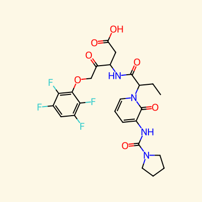 CCC(C(=O)NC(CC(=O)O)C(=O)COc1c(F)c(F)cc(F)c1F)n1cccc(NC(=O)N2CCCC2)c1=O